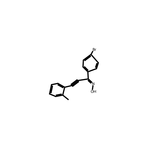 Cc1ccccc1C#CC(=NO)c1ccc(Br)cc1